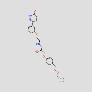 O=C1CCC(c2cccc(OCCNCC(O)COc3ccc(CCOCC4CCC4)cc3)c2)=NN1